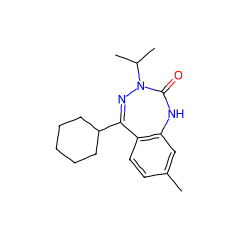 Cc1ccc2c(c1)NC(=O)N(C(C)C)N=C2C1CCCCC1